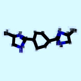 CCC1CNC(C2CCC(C3=NC(CC)CN3)CC2)=N1